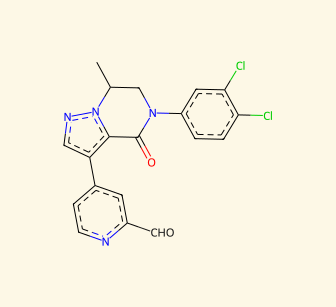 CC1CN(c2ccc(Cl)c(Cl)c2)C(=O)c2c(-c3ccnc(C=O)c3)cnn21